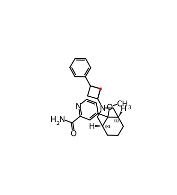 COC1(c2ccnc(C(N)=O)c2)[C@@H]2CCC[C@H]1CN(C13CC(c4ccccc4)(C1)C3)C2